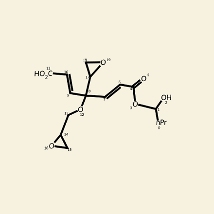 CCCC(O)OC(=O)C=CC(C=CC(=O)O)(OCC1CO1)C1CO1